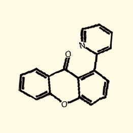 O=c1c2ccccc2oc2cccc(-c3ccccn3)c12